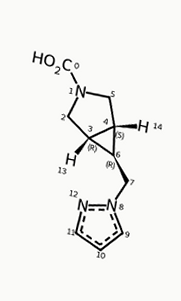 O=C(O)N1C[C@@H]2[C@H](C1)[C@H]2Cn1cccn1